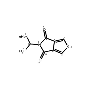 CCCCCCC(C)N1C(=O)c2cscc2C1=O